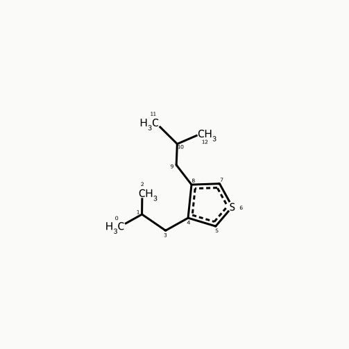 CC(C)Cc1cscc1CC(C)C